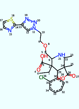 CCC1(C(=O)O)C(COCCn2cc(-c3nccs3)nn2)NC(C)C(C)(C(=O)O)C1c1ccccc1Cl